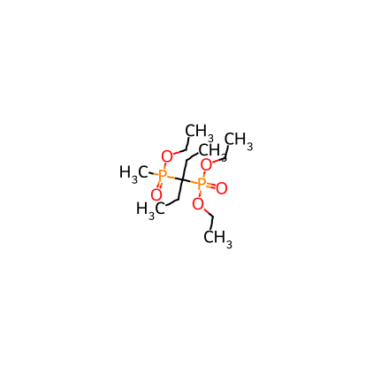 CCOP(C)(=O)C(CC)(CC)P(=O)(OCC)OCC